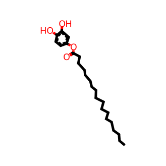 CCCCCCCCCCCCCCCCCC(=O)Oc1ccc(O)c(O)c1